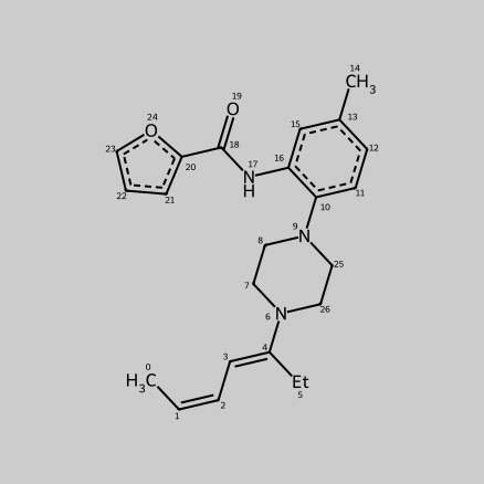 C/C=C\C=C(/CC)N1CCN(c2ccc(C)cc2NC(=O)c2ccco2)CC1